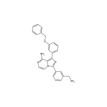 NCc1cccc(-c2nc(-c3cccc(OCc4ccccc4)c3)c3c(N)nccn23)c1